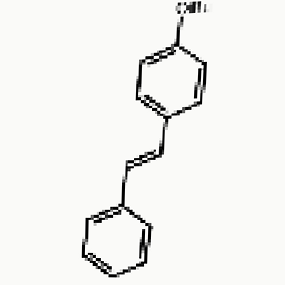 CC(C)COc1ccc(C=Cc2ccccc2)cc1